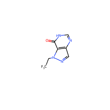 O=c1[nH]cnc2cnn(CC(F)(F)F)c12